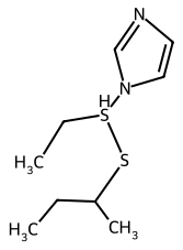 CCC(C)S[SH](CC)n1ccnc1